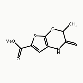 COC(=O)c1cc2c(s1)OC(C)C(=S)N2